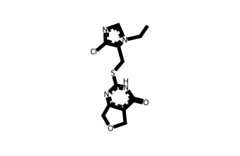 CCn1cnc(Cl)c1CSc1nc2c(c(=O)[nH]1)COC2